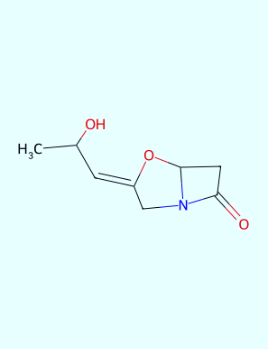 CC(O)C=C1CN2C(=O)CC2O1